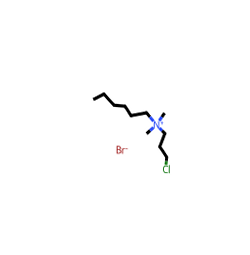 CCCCCC[N+](C)(C)CCCCl.[Br-]